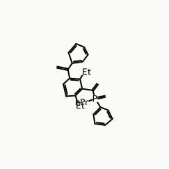 C=C(c1ccccc1)c1ccc(CC)c(C(=C)P(=C)(CCC)c2ccccc2)c1CC